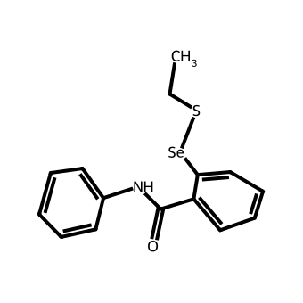 CCS[Se]c1ccccc1C(=O)Nc1ccccc1